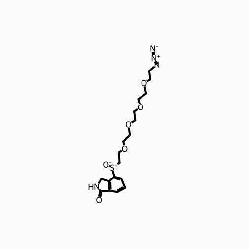 [N-]=[N+]=NCCOCCOCCOCCOCC[S+]([O-])c1cccc2c1CNC2=O